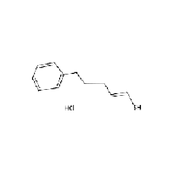 Cl.SC=CCCCc1ccccc1